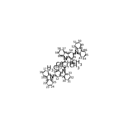 CC1(C)c2cc3c(cc2N2c4c(cc(-n5c6ccccc6c6ccccc65)cc41)C1=CC=CCC12)C(C)(C)c1cc(-n2c4ccccc4c4ccccc42)cc2c4ccccc4n-3c12